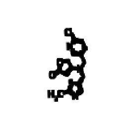 Cc1ncc(CN(Cc2ccc(Cl)nc2)C2=CC(=O)OC2)s1